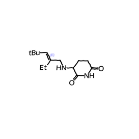 CC/C(=C\C(C)(C)C)CNC1CCC(=O)NC1=O